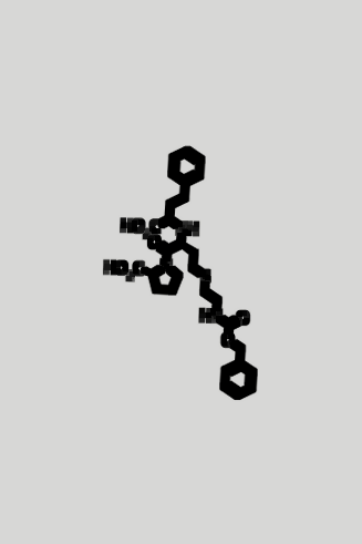 O=C(NCCSCC[C@H](NC(CCc1ccccc1)C(=O)O)C(=O)N1CCC[C@H]1C(=O)O)OCc1ccccc1